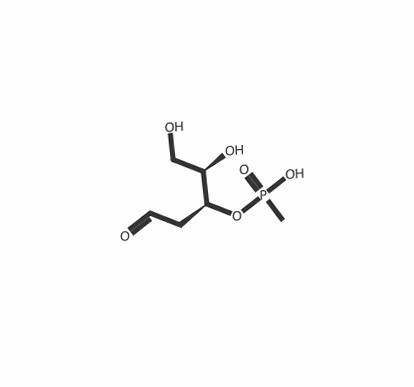 CP(=O)(O)O[C@@H](CC=O)[C@H](O)CO